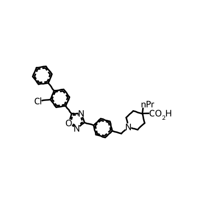 CCCC1(C(=O)O)CCN(Cc2ccc(-c3noc(-c4ccc(-c5ccccc5)c(Cl)c4)n3)cc2)CC1